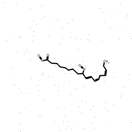 CC/C=C\C/C=C\C=C\C(CCCCCCCC(=O)N=O)N=O